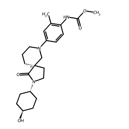 COC(=O)Nc1ccc(N2CCC[C@@]3(CCN([C@H]4CC[C@H](O)CC4)C3=O)C2)cc1C